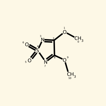 COC1=NS(=O)(=O)N=C1OC